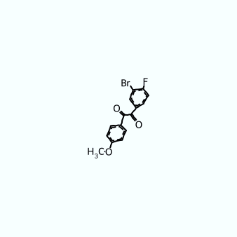 COc1ccc(C(=O)C(=O)c2ccc(F)c(Br)c2)cc1